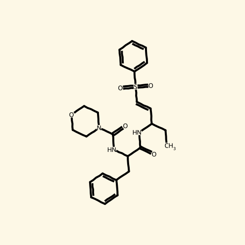 CCC(C=CS(=O)(=O)c1ccccc1)NC(=O)C(Cc1ccccc1)NC(=O)N1CCOCC1